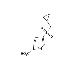 O=C(O)c1ccc(S(=O)(=O)CC2CC2)cn1